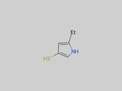 CCc1cc(S)c[nH]1